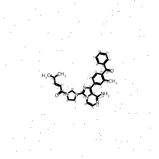 Cc1cc(-c2nc(N3CCN(C(=O)/C=C/C(C)C)C3)n3ccnc(N)c23)ccc1C(=O)c1ccccc1